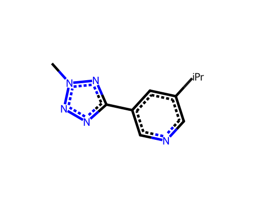 CC(C)c1cncc(-c2nnn(C)n2)c1